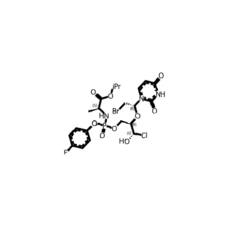 CC(C)OC(=O)[C@H](C)NP(=O)(OC[C@@H](O[C@H](CBr)n1ccc(=O)[nH]c1=O)[C@@H](O)Cl)Oc1ccc(F)cc1